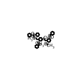 CN(C)c1ccc(B2Oc3ccccc3O2)cc1CN(C)c1ccc(CN(C)c2ccccc2B2Oc3ccccc3O2)c(B2Oc3ccccc3O2)c1